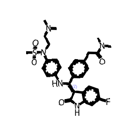 CN(C)CCN(c1ccc(N/C(=C2\C(=O)Nc3cc(F)ccc32)c2ccc(CC(=O)N(C)C)cc2)cc1)S(C)(=O)=O